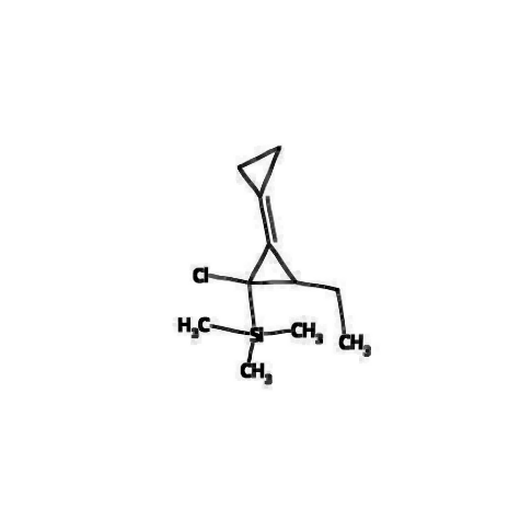 CCC1C(=C2CC2)C1(Cl)[Si](C)(C)C